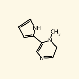 CN1CC=NC=C1c1cc[c][nH]1